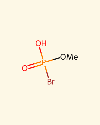 COP(=O)(O)Br